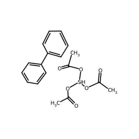 CC(=O)O[SiH](OC(C)=O)OC(C)=O.c1ccc(-c2ccccc2)cc1